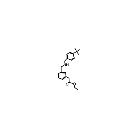 CCOC(=O)Cc1cccc(CNCc2ccc(C(C)(C)C)cc2)c1